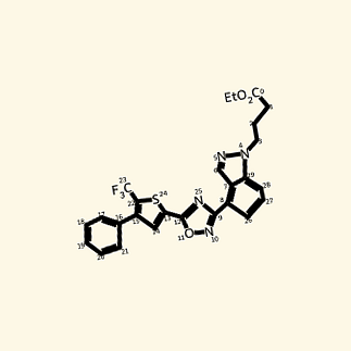 CCOC(=O)CCCn1ncc2c(-c3noc(-c4cc(-c5ccccc5)c(C(F)(F)F)s4)n3)cccc21